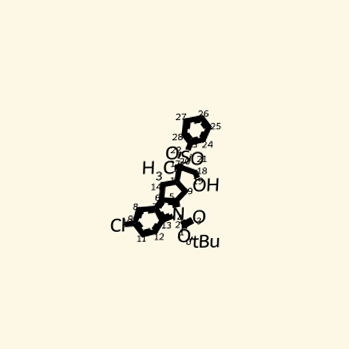 CC(C)(C)OC(=O)n1c2c(c3cc(Cl)ccc31)CC(C(C)(CO)S(=O)(=O)c1ccccc1)C2